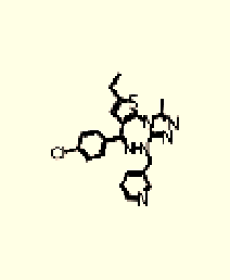 CCc1cc2c(s1)-n1c(C)nnc1N(Cc1cccnc1)N=C2c1ccc(Cl)cc1